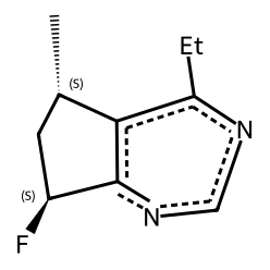 CCc1ncnc2c1[C@@H](C)C[C@@H]2F